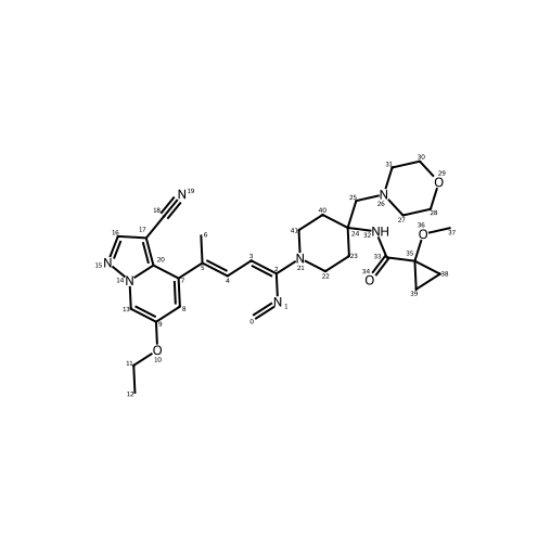 C=N/C(=C\C=C(/C)c1cc(OCC)cn2ncc(C#N)c12)N1CCC(CN2CCOCC2)(NC(=O)C2(OC)CC2)CC1